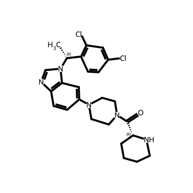 C[C@H](c1ccc(Cl)cc1Cl)n1cnc2ccc(N3CCN(C(=O)[C@H]4CCCCN4)CC3)cc21